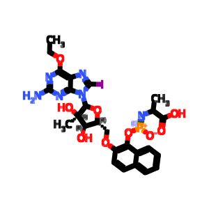 CCOc1nc(N)nc2c1nc(I)n2C1O[C@H](COc2ccc3ccccc3c2O/[P+]([O-])=N/C(C)C(=O)O)[C@@H](O)[C@@]1(C)O